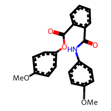 COc1ccc(NC(=O)c2ccccc2C(=O)Oc2ccc(OC)cc2)cc1